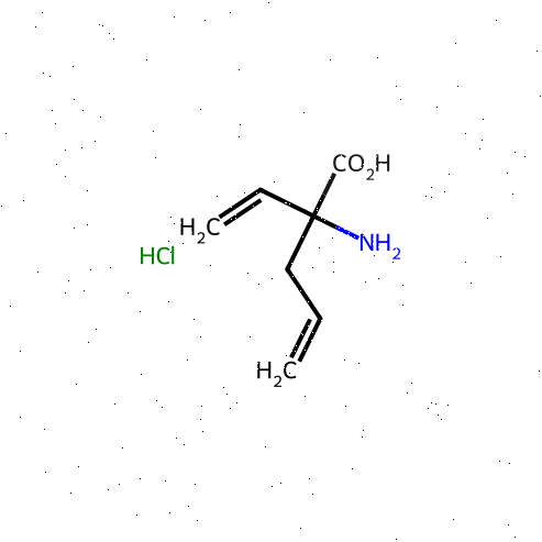 C=CCC(N)(C=C)C(=O)O.Cl